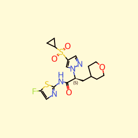 O=C(Nc1ncc(F)s1)[C@H](CC1CCOCC1)n1cc(S(=O)(=O)C2CC2)cn1